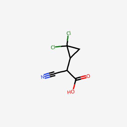 N#CC(C(=O)O)C1CC1(Cl)Cl